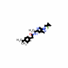 CC(C)c1ccc(CC(=O)N[C@H](C)c2cc3cnn(CC4(F)CC4)c3cn2)cc1